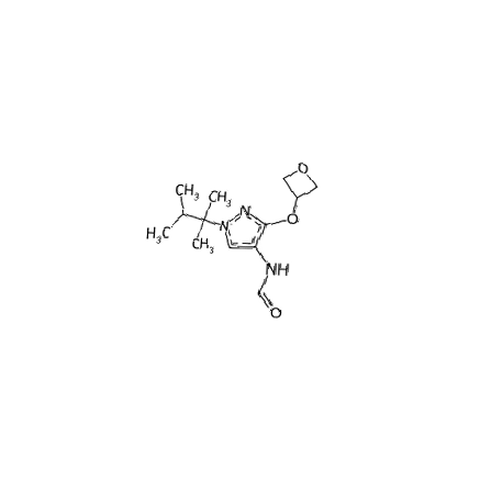 CC(C)C(C)(C)n1cc(NC=O)c(OC2COC2)n1